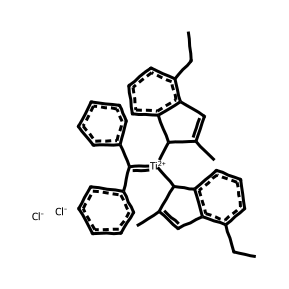 CCc1cccc2c1C=C(C)[CH]2[Ti+2](=[C](c1ccccc1)c1ccccc1)[CH]1C(C)=Cc2c(CC)cccc21.[Cl-].[Cl-]